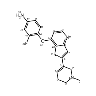 CN1CCC=C(c2cc3nccc(Oc4ccc(N)cc4F)c3s2)C1